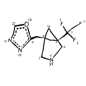 FC(F)(F)[C@@]12CNC[C@]1(c1nnco1)C2